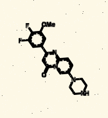 COc1cc(-c2cc(=O)n3cc(N4CCNCC4)ccc3n2)cc(F)c1F